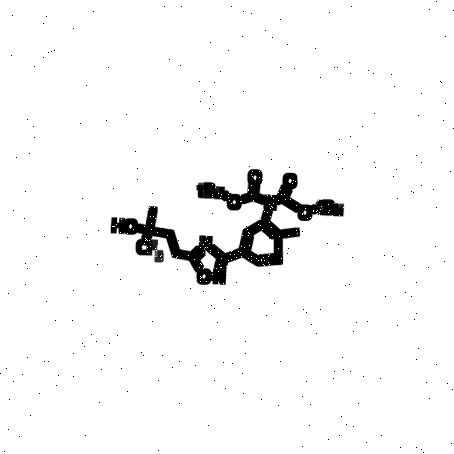 Cc1ccc(-c2noc(CCC(C)(O)C(F)(F)F)n2)cc1N(C(=O)OC(C)(C)C)C(=O)OC(C)(C)C